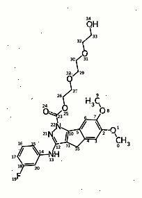 COc1cc2c(cc1OC)-c1c(c(Nc3cccc(F)c3)nn1C(=O)OCCOCCOCCO)C2